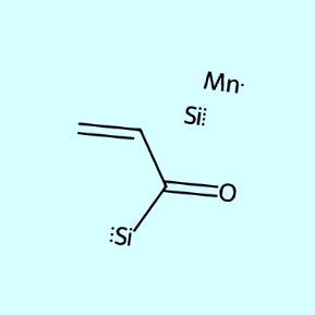 C=CC(=O)[Si].[Mn].[Si]